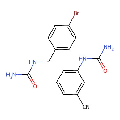 N#Cc1cccc(NC(N)=O)c1.NC(=O)NCc1ccc(Br)cc1